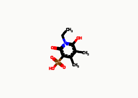 CCn1c(O)c(C)c(C)c(S(=O)(=O)O)c1=O